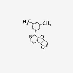 Cc1cc(C)cc(-c2nccc3c2oc2ccoc23)c1